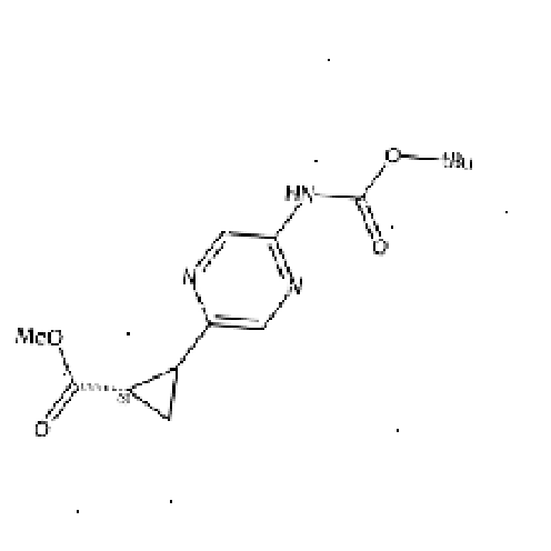 COC(=O)[C@H]1CC1c1cnc(NC(=O)OC(C)(C)C)cn1